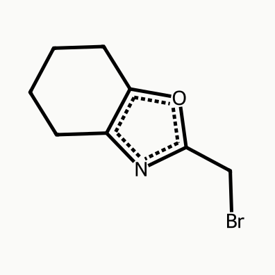 BrCc1nc2c(o1)CCCC2